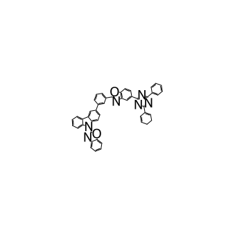 C1=CC(c2nc(-c3ccccc3)nc(-c3ccc4oc(-c5cccc(-c6ccc7c(c6)c6ccccc6n7-c6nc7ccccc7o6)c5)nc4c3)n2)=CCC1